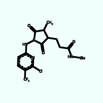 CC1C(=O)N(Nc2ccc(C(F)(F)F)c(Cl)n2)C(=O)C1CCC(=O)NC(C)(C)C